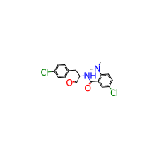 CN(C)c1ccc(Cl)cc1C(=O)NC(C=O)Cc1ccc(Cl)cc1